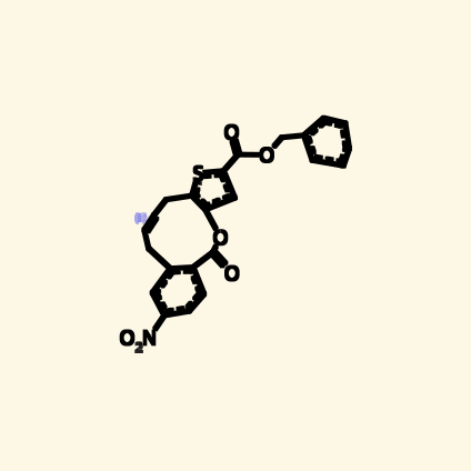 O=C(OCc1ccccc1)c1cc2c(s1)C/C=C/Cc1cc([N+](=O)[O-])ccc1C(=O)O2